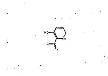 O=[N+]([O-])C1=C(O)C=CCN1